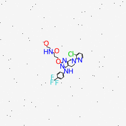 COCCNC(=O)CCOc1nc2c(c(Nc3ccc(C(F)(F)F)cc3)n1)CCN(c1ncccc1Cl)C2